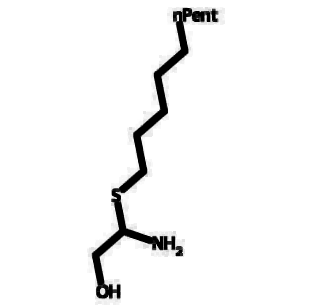 CCCCCCCCCCSC(N)CO